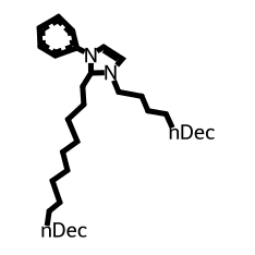 CCCCCCCCCCCCCCCCCCCC1N(CCCCCCCCCCCCCC)C=CN1c1ccccc1